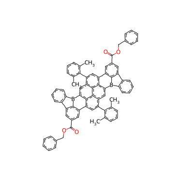 Cc1cccc(C)c1-c1cc2c3c(cc4c(-c5c(C)cccc5C)cc5c6c(cc1c3c46)B1c3ccccc3-c3cc(C(=O)OCc4ccccc4)cc-5c31)B1c3ccccc3-c3cc(C(=O)OCc4ccccc4)cc-2c31